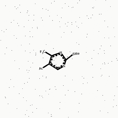 CSc1ncc(C(C)=O)c(C(F)(F)F)n1